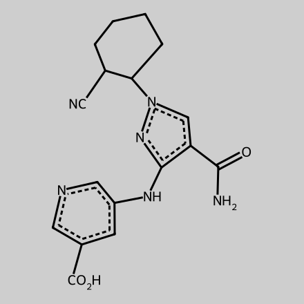 N#CC1CCCCC1n1cc(C(N)=O)c(Nc2cncc(C(=O)O)c2)n1